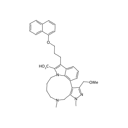 COCc1nn(C)c2c1-c1cccc3c(CCCOc4cccc5ccccc45)c(C(=O)O)n(c13)CCCCN(C)C2